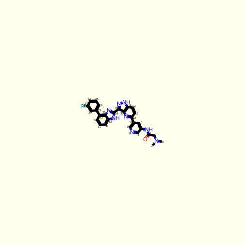 CN(C)CC(=O)Nc1cncc(-c2ccc3[nH]nc(-c4nc5c(-c6cccc(F)c6)cccc5[nH]4)c3n2)c1